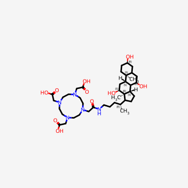 C[C@H](CCCNC(=O)CN1CCN(CC(=O)O)CCN(CC(=O)O)CCN(CC(=O)O)CC1)C1CC[C@H]2C3[C@H](O)CC4C[C@H](O)CC[C@]4(C)[C@H]3C[C@H](O)[C@]12C